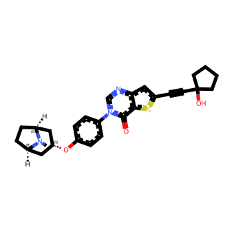 CN1[C@@H]2CC[C@H]1C[C@H](Oc1ccc(-n3cnc4cc(C#CC5(O)CCCC5)sc4c3=O)cc1)C2